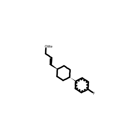 COCC=C[C@H]1CC[C@H](c2ccc(F)cc2)CC1